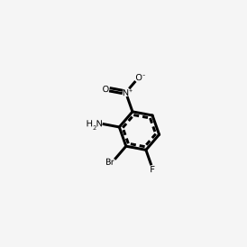 Nc1c([N+](=O)[O-])ccc(F)c1Br